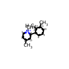 Cc1cc[n+](C)c(-c2cccc(C)c2C)c1